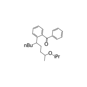 CCCCC(CCC(C)OC(C)C)c1ccccc1C(=O)c1ccccc1